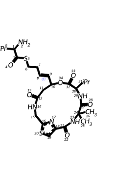 CC(C)C(N)C(=O)SCC/C=C/C1CC(=O)NCc2nc(cs2)C(=O)NC(C)(C)C(=O)NC(C(C)C)C(=O)O1